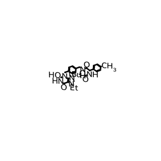 CCn1cnc2c1C(=O)NC(O)N2Cc1ccc(CNC(=O)C(NC(=O)OC(C)(C)C)c2ccc(C)cc2)cc1